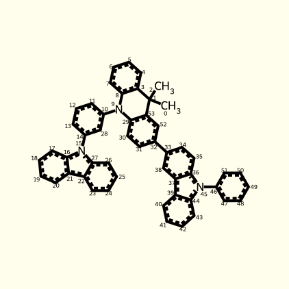 CC1(C)c2ccccc2N(c2cccc(-n3c4ccccc4c4ccccc43)c2)c2ccc(-c3ccc4c(c3)c3ccccc3n4-c3ccccc3)cc21